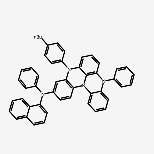 CCCCc1ccc(N2c3cc(N(c4ccccc4)c4cccc5ccccc45)ccc3B3c4ccccc4N(c4ccccc4)c4cccc2c43)cc1